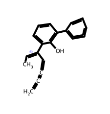 C=C=C=C/C(=C\C)c1cccc(C2=C=C=CC=C2)c1O